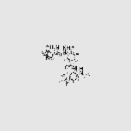 CCNc1ccc(C(F)(F)F)cc1NC(=O)c1ccc(C)c(N(N)/C=C(\N)c2cnn(C)c2C)c1